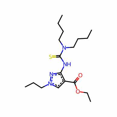 CCCCN(CCCC)C(=S)Nc1nn(CCC)cc1C(=O)OCC